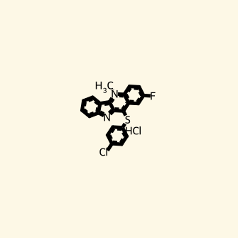 Cl.Cn1c2c3ccccc3nc-2c(Sc2ccc(Cl)cc2)c2cc(F)ccc21